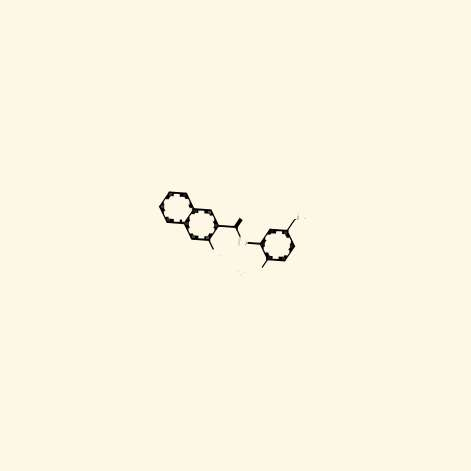 CCC(C)c1ccc(OC)c(NC(=O)c2cc3ccccc3cc2O)c1